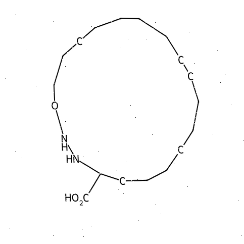 O=C(O)C1CCCCCCCCCCCCCCCONN1